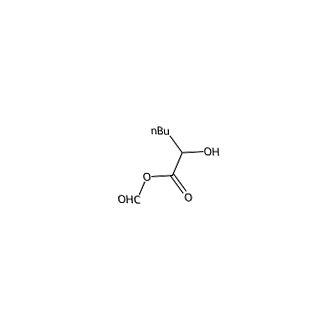 CCCCC(O)C(=O)OC=O